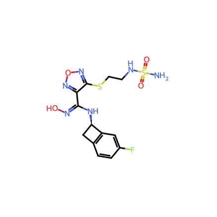 NS(=O)(=O)NCCSc1nonc1/C(=N\O)N[C@@H]1Cc2ccc(F)cc21